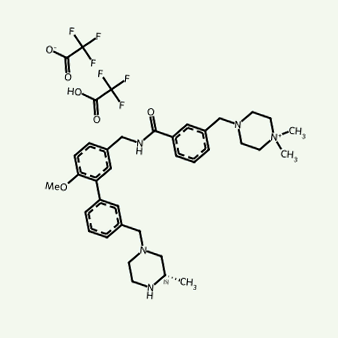 COc1ccc(CNC(=O)c2cccc(CN3CC[N+](C)(C)CC3)c2)cc1-c1cccc(CN2CCN[C@@H](C)C2)c1.O=C(O)C(F)(F)F.O=C([O-])C(F)(F)F